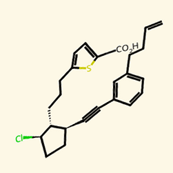 C=CCCc1cccc(C#C[C@H]2CC[C@@H](Cl)[C@@H]2CCCc2ccc(C(=O)O)s2)c1